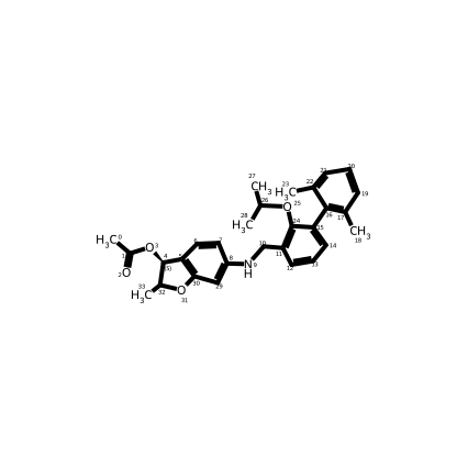 CC(=O)O[C@H]1c2ccc(NCc3cccc(-c4c(C)cccc4C)c3OC(C)C)cc2OC1C